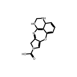 O=C(O)N1C=C2OC3=CC=CC4NCNC(=C34)N=C2C1